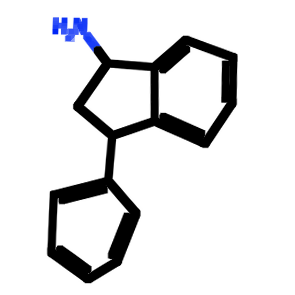 NC1CC(c2ccccc2)c2ccccc21